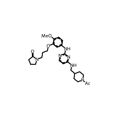 COc1ccc(Nc2nccc(NCC3CCN(C(C)=O)CC3)n2)cc1OCCCN1CCCC1=O